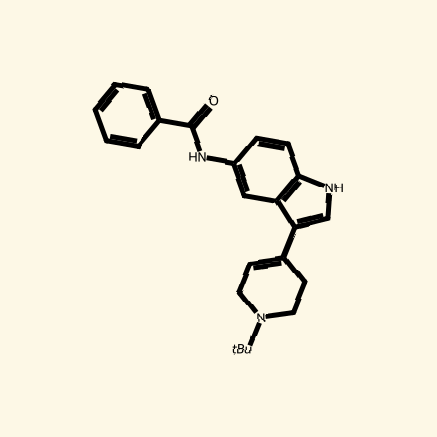 CC(C)(C)N1CC=C(c2c[nH]c3ccc(NC(=O)c4ccccc4)cc23)CC1